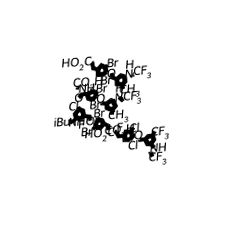 CCC(C)Nc1cc(Cl)cc(COc2c(Br)cc(CC(=O)O)cc2Br)c1F.Cc1cc(COc2c(Br)cc(C(=O)NCC(=O)O)cc2Br)cc(NCC(F)(F)F)c1.Cc1cc(COc2c(Br)cc(CCC(=O)O)cc2Br)cc(NCC(F)(F)F)c1.O=C(O)C(F)Cc1cc(Cl)c(OCc2cc(NCC(F)(F)F)cc(C(F)(F)F)c2)c(Cl)c1